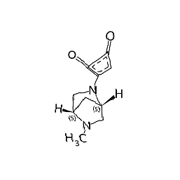 CN1C[C@@H]2C[C@H]1CN2c1cc(=O)c1=O